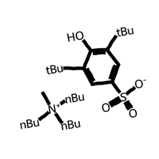 CC(C)(C)c1cc(S(=O)(=O)[O-])cc(C(C)(C)C)c1O.CCCC[N+](C)(CCCC)CCCC